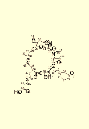 COC1CCCC(/C=C(\C)[C@H]2OC(=O)C3CCCCN3C(=O)C(=O)C3(O)OC(CCC(C)C/C(C)=C/[C@@H](CCSCCC(=O)O)C(=O)CC(O)C2C)C(OC)C[C@H]3C)C1